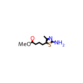 COC(=O)CCCc1sc(N)nc1C